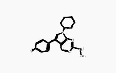 CCCCNc1ncc2c(-c3ccc(F)cc3)cn(C3CCCCC3)c2n1